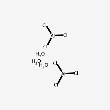 O.O.O.[Cl][Al]([Cl])[Cl].[Cl][Al]([Cl])[Cl]